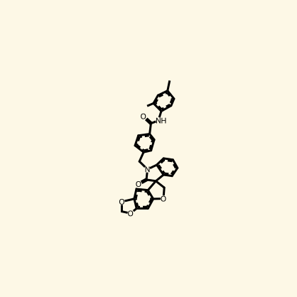 Cc1ccc(NC(=O)c2ccc(CN3C(=O)C4(COc5cc6c(cc54)OCO6)c4ccccc43)cc2)c(C)c1